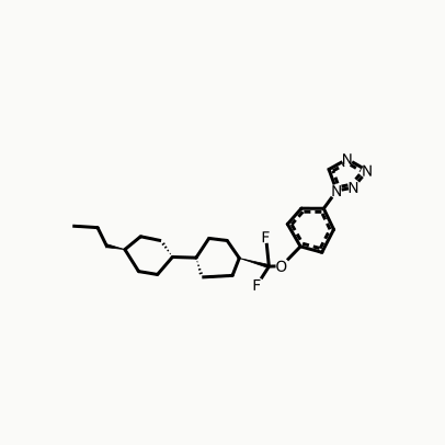 CCC[C@H]1CC[C@H]([C@H]2CC[C@H](C(F)(F)Oc3ccc(-n4cnnn4)cc3)CC2)CC1